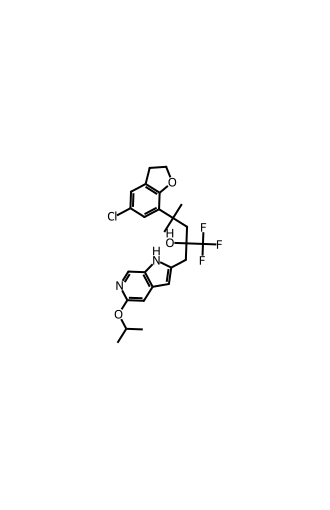 CC(C)Oc1cc2cc(CC(O)(CC(C)(C)c3cc(Cl)cc4c3OCC4)C(F)(F)F)[nH]c2cn1